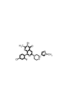 CCn1c(C)nc2c(-c3ccc(Cl)cc3F)nc(N3CCO[C@@H](c4cnn(C)c4)C3)cc2c1=O